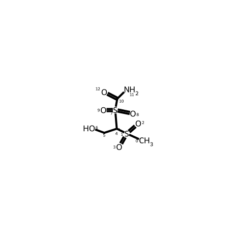 CS(=O)(=O)[C](CO)S(=O)(=O)C(N)=O